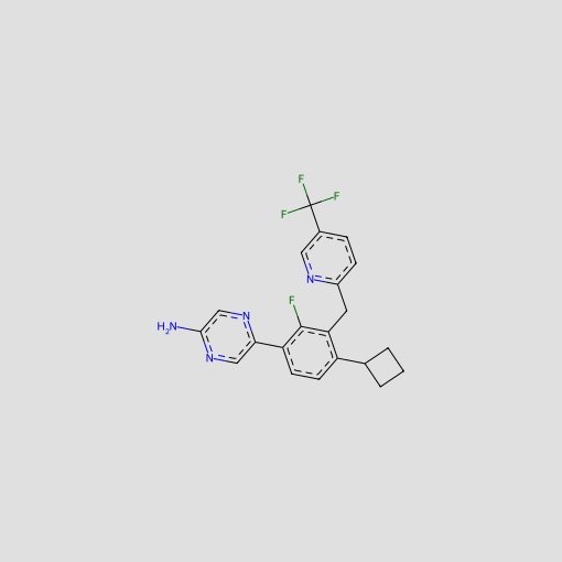 Nc1cnc(-c2ccc(C3CCC3)c(Cc3ccc(C(F)(F)F)cn3)c2F)cn1